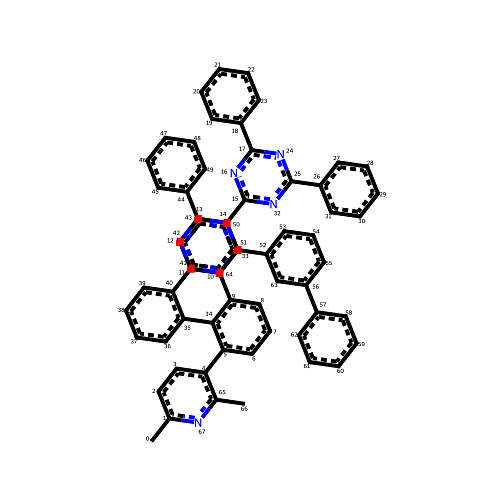 Cc1ccc(-c2cccc(-c3cccc(-c4nc(-c5ccccc5)nc(-c5ccccc5)n4)c3)c2-c2ccccc2-c2nc(-c3ccccc3)nc(-c3cccc(-c4ccccc4)c3)n2)c(C)n1